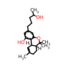 CC1=C[C@H]2c3c(O)cc(CCCC(C)O)cc3OC(C)(C)[C@@H]2CC1